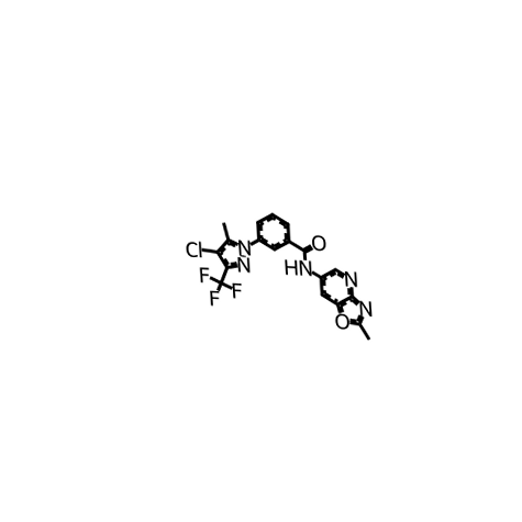 Cc1nc2ncc(NC(=O)c3cccc(-n4nc(C(F)(F)F)c(Cl)c4C)c3)cc2o1